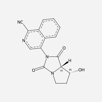 N#Cc1ncc(N2C(=O)[C@@H]3[C@H](O)CCN3C2=O)c2ccccc12